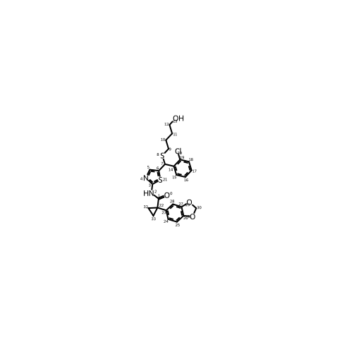 O=C(Nc1ncc(C(SCCCCO)c2ccccc2Cl)s1)C1(c2ccc3c(c2)OCO3)CC1